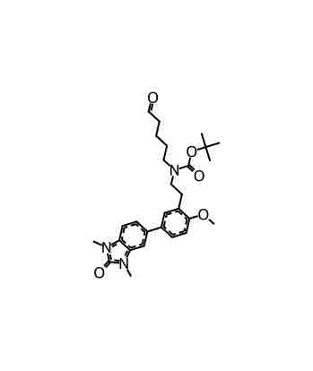 COc1ccc(-c2ccc3c(c2)n(C)c(=O)n3C)cc1CCN(CCCCC=O)C(=O)OC(C)(C)C